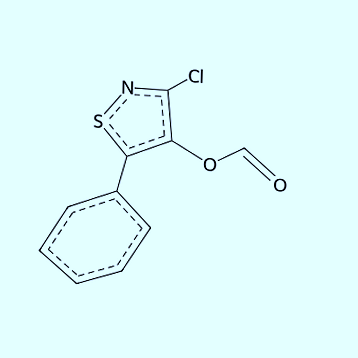 O=COc1c(Cl)nsc1-c1ccccc1